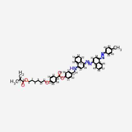 C=C(C)C(=O)OCCCCCCOc1ccc(C(=O)Oc2ccc(CNc3ccc(/N=N/c4ccc(/N=N/c5ccc(C)cc5)c5ccccc45)c4ccccc34)cc2)cc1